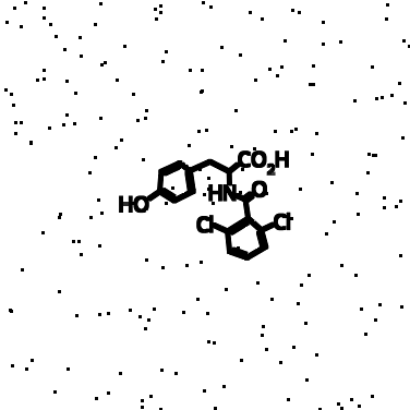 O=C(NC(Cc1ccc(O)cc1)C(=O)O)c1c(Cl)cccc1Cl